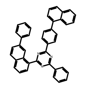 c1ccc(-c2ccc3cccc(-c4nc(-c5ccccc5)nc(-c5ccc(-c6cccc7ccccc67)cc5)n4)c3c2)cc1